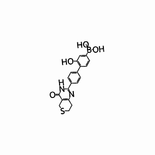 O=c1[nH]c(-c2ccc(-c3ccc(B(O)O)cc3O)cc2)nc2c1CSCC2